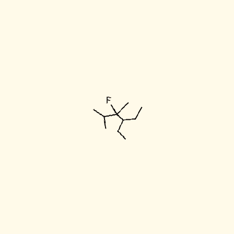 CCC(CC)C(C)(F)C(C)C